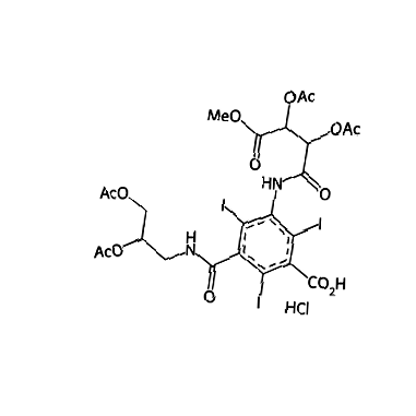 COC(=O)C(OC(C)=O)C(OC(C)=O)C(=O)Nc1c(I)c(C(=O)O)c(I)c(C(=O)NCC(COC(C)=O)OC(C)=O)c1I.Cl